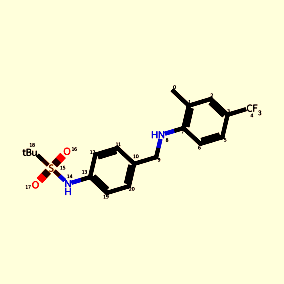 Cc1cc(C(F)(F)F)ccc1NCc1ccc(NS(=O)(=O)C(C)(C)C)cc1